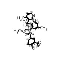 COCN(c1cc(C)cnc1C(C)(O)c1c(C)ccnc1C)S(=O)(=O)c1ccc(Cl)c(C(F)(F)F)c1